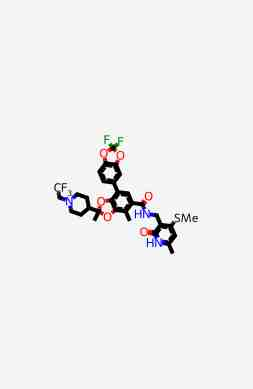 CSc1cc(C)[nH]c(=O)c1CNC(=O)c1cc(-c2ccc3c(c2)OC(F)(F)O3)c2c(c1C)OC(C)(C1CCN(CC(F)(F)F)CC1)O2